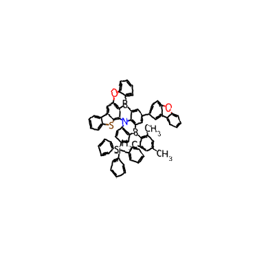 Cc1cc(C)c(B2c3cc([Si](c4ccccc4)(c4ccccc4)c4ccccc4)ccc3N3c4c2cc(-c2ccc5oc6ccccc6c5c2)cc4B2c4ccccc4Oc4cc5c(sc6ccccc65)c3c42)c(C)c1